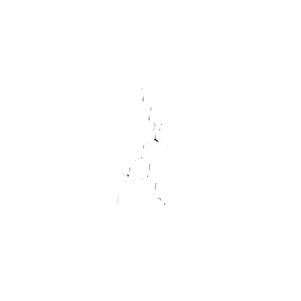 CCCCN(C)C(=O)C[C@H]1C[C@@H](CCN)OC(C)(C)O1